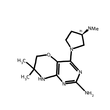 CN[C@@H]1CCN(c2nc(N)nc3c2OCC(C)(C)N3)C1